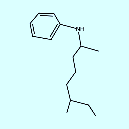 CCC(C)CCCC(C)Nc1ccccc1